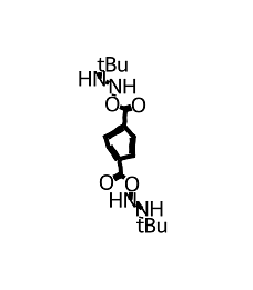 CC(C)(C)NNOC(=O)c1ccc(C(=O)ONNC(C)(C)C)cc1